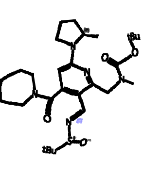 C[C@@H]1CCCN1c1cc(C(=O)N2CCCCC2)c(/C=N/[S+]([O-])C(C)(C)C)c(CN(C)C(=O)OC(C)(C)C)n1